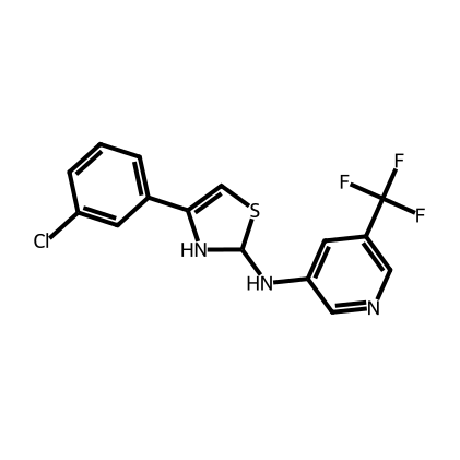 FC(F)(F)c1cncc(NC2NC(c3cccc(Cl)c3)=CS2)c1